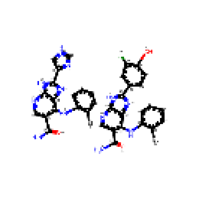 CCc1ccccc1Nc1c(C(N)=O)cnc2[nH]c(-c3c[nH]cn3)nc12.CCc1ccccc1Nc1c(C(N)=O)cnc2[nH]c(-c3ccc(O)c(Cl)c3)nc12